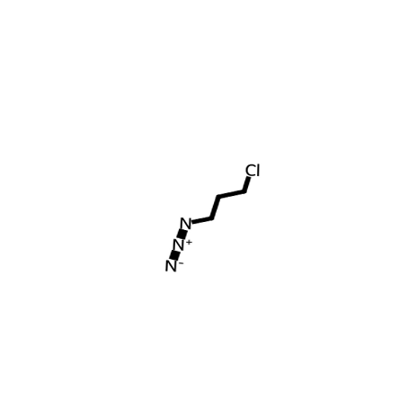 [N-]=[N+]=NCCCCl